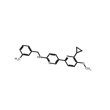 COc1ccc(-c2ccc(NCc3cccc(C)c3)nc2)nc1C1CC1